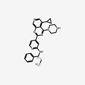 CC[C@@H](Nc1cc(-c2nc(N3CCNCC3)c3c(C4CC4)cncc3n2)ccn1)c1ccccc1